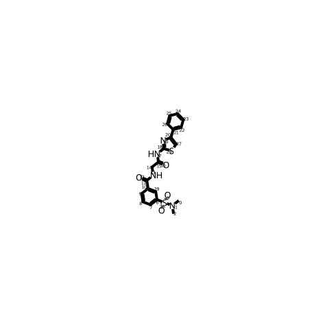 CN(C)S(=O)(=O)c1cccc(C(=O)NCC(=O)Nc2nc(-c3ccccc3)cs2)c1